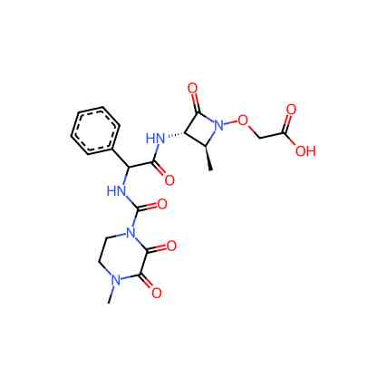 C[C@H]1[C@H](NC(=O)C(NC(=O)N2CCN(C)C(=O)C2=O)c2ccccc2)C(=O)N1OCC(=O)O